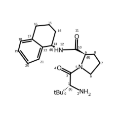 CC(C)(C)[C@@H](N)C(=O)N1CCC[C@@H]1C(=O)N[C@@H]1CCCc2ccccc21